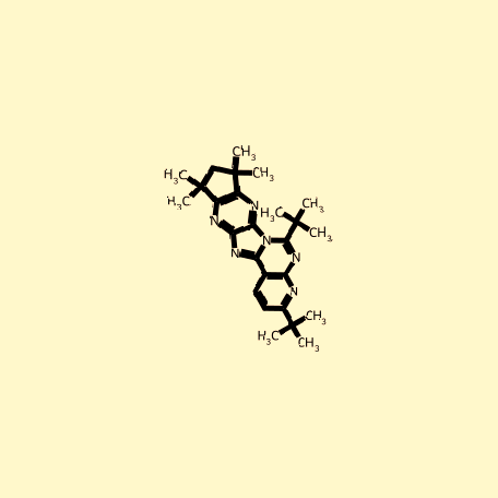 CC(C)(C)c1ccc2c(n1)nc(C(C)(C)C)n1c3nc4c(nc3nc21)C(C)(C)CC4(C)C